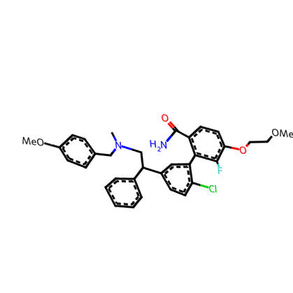 COCCOc1ccc(C(N)=O)c(-c2cc(C(CN(C)Cc3ccc(OC)cc3)c3ccccc3)ccc2Cl)c1F